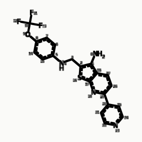 Nc1c(CNc2ccc(OC(F)(F)F)cc2)sc2nc(-c3ccncc3)ccc12